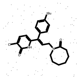 CC(C)(C)c1ccc(/C(=C\CN2CCCCCCC2=O)c2ccc(Cl)c(=O)[nH]2)cc1